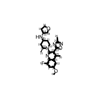 COc1cc(F)c2nc(N3CCC(N[C@H]4CCOC4)C[C@@H]3C)c(-c3nc(C)no3)c(C)c2c1